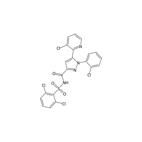 O=C(NS(=O)(=O)c1c(Cl)cccc1Cl)c1cc(-c2ncccc2Cl)n(-c2ccccc2Cl)n1